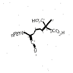 CCCCCC(=C=O)CCC(C)(C(=O)O)C(=O)O